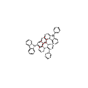 c1ccc(-c2ccccc2-c2c(-c3ccccc3)cccc2N(c2ccc(-n3c4ccccc4c4ccccc43)cc2)c2cccc3c2c2ccccc2n3-c2ccccc2)cc1